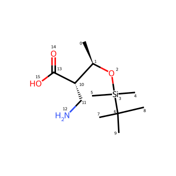 C[C@@H](O[Si](C)(C)C(C)(C)C)[C@H](CN)C(=O)O